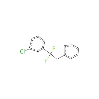 FC(F)(Cc1ccccc1)c1cccc(Cl)c1